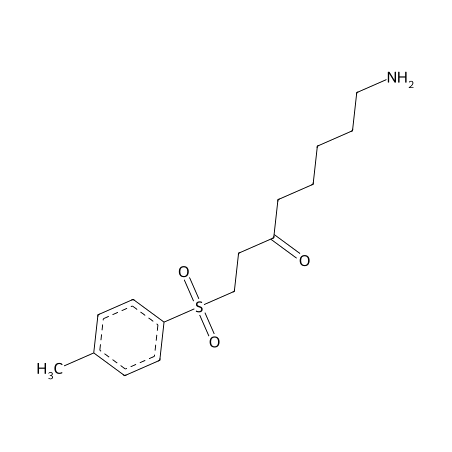 Cc1ccc(S(=O)(=O)CCC(=O)CCCCCN)cc1